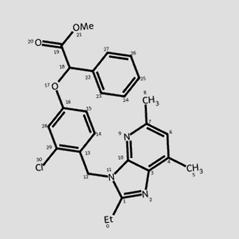 CCc1nc2c(C)cc(C)nc2n1Cc1ccc(OC(C(=O)OC)c2ccccc2)cc1Cl